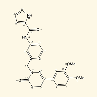 COc1ccc(C2=NN(Cc3cccc(NC(=O)c4ccc[nH]4)c3)C(=O)CC2)cc1OC